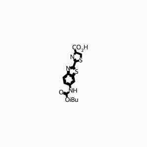 CC(C)COC(=O)Nc1ccc2nc(C3=NC(C(=O)O)CS3)sc2c1